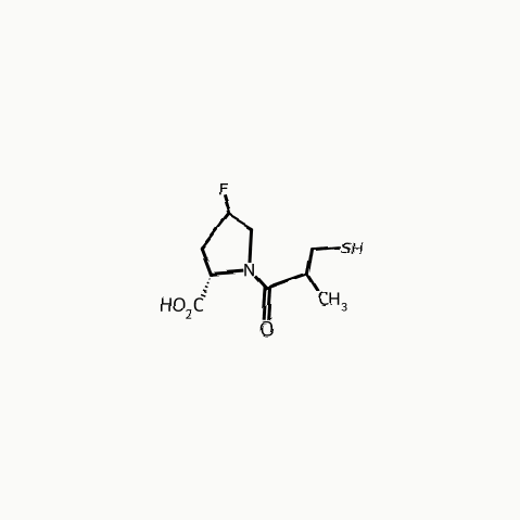 CC(CS)C(=O)N1CC(F)C[C@H]1C(=O)O